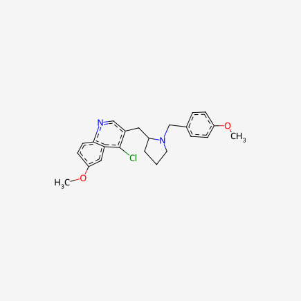 COc1ccc(CN2CCCC2Cc2cnc3ccc(OC)cc3c2Cl)cc1